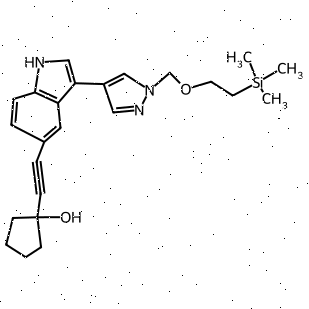 C[Si](C)(C)CCOCn1cc(-c2c[nH]c3ccc(C#CC4(O)CCCC4)cc23)cn1